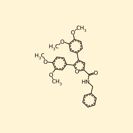 COc1ccc(-c2cc(C(=O)NCc3ccccc3)oc2-c2ccc(OC)c(OC)c2)cc1OC